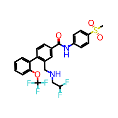 CS(=O)(=O)c1ccc(NC(=O)c2ccc(-c3ccccc3OC(F)(F)F)c(CNCC(F)F)c2)cc1